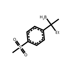 BC(C)(CC)c1ccc(S(C)(=O)=O)cc1